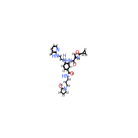 Cc1cccnc1NCCNc1ccc(C(=O)NCCCN2CCCC2=O)cc1NC(=O)c1coc(C2CC2)n1